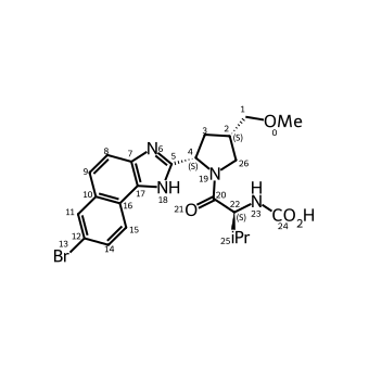 COC[C@H]1C[C@@H](c2nc3ccc4cc(Br)ccc4c3[nH]2)N(C(=O)[C@@H](NC(=O)O)C(C)C)C1